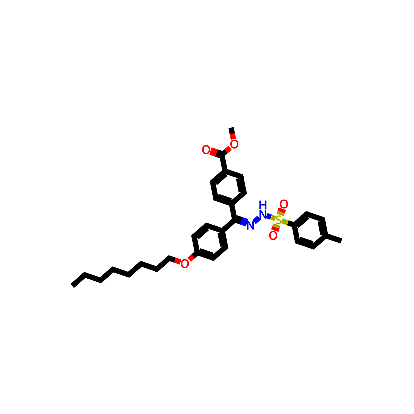 CCCCCCCCOc1ccc(/C(=N/NS(=O)(=O)c2ccc(C)cc2)c2ccc(C(=O)OC)cc2)cc1